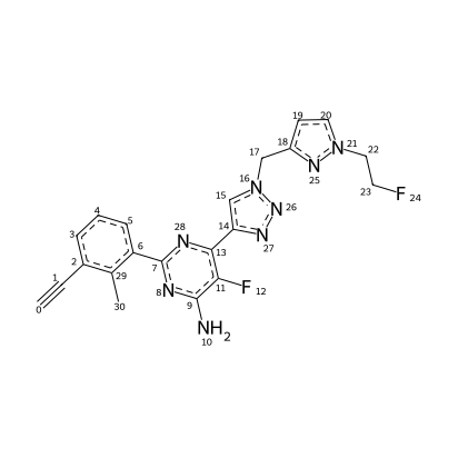 C#Cc1cccc(-c2nc(N)c(F)c(-c3cn(Cc4ccn(CCF)n4)nn3)n2)c1C